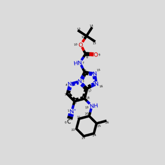 [C-]#[N+]c1cnn2c(NC(=O)OC(C)(C)C)nnc2c1NC1CCCCC1C